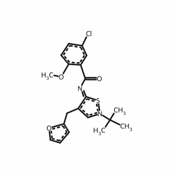 COc1ccc(Cl)cc1C(=O)N=c1sn(C(C)(C)C)cc1Cc1ccco1